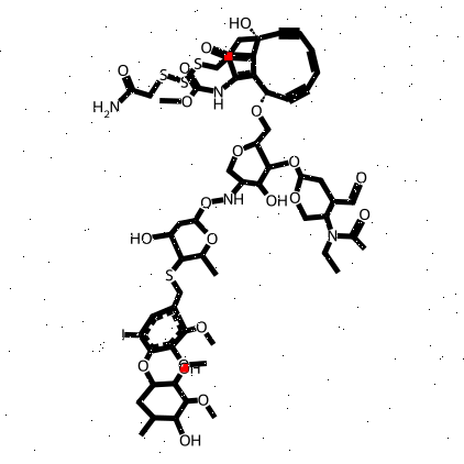 CCN(C(C)=O)C1COC(OC2C(CO[C@H]3C#C/C=C\C#C[C@]4(O)CC(=O)C(NC(=O)OC)=C3/C4=C\CSSSCC(N)=O)OCC(NOC3CC(O)C(SCc4cc(I)c(OC5CC(C)C(O)C(OC)C5O)c(OC)c4OC)C(C)O3)C2O)CC1C=O